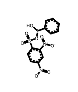 O=[N+]([O-])c1ccc(S(=O)(=O)OI(O)c2ccccc2)c([N+](=O)[O-])c1